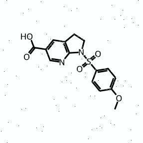 COc1ccc(S(=O)(=O)N2CCc3cc(C(=O)O)cnc32)cc1